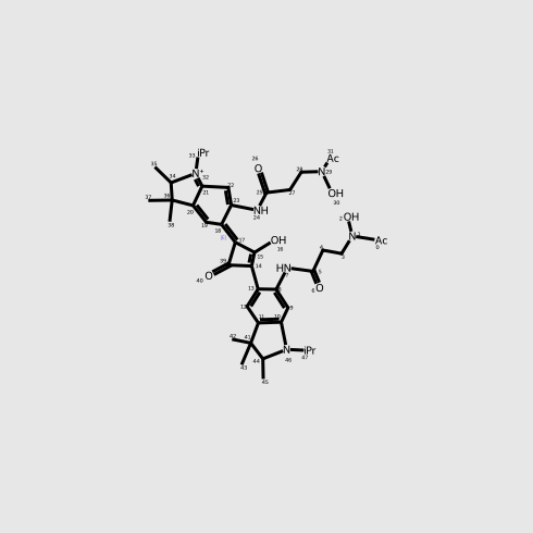 CC(=O)N(O)CCC(=O)Nc1cc2c(cc1C1=C(O)/C(=c3/cc4c(cc3NC(=O)CCN(O)C(C)=O)=[N+](C(C)C)C(C)C4(C)C)C1=O)C(C)(C)C(C)N2C(C)C